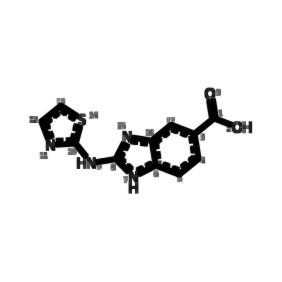 O=C(O)c1ccc2[nH]c(Nc3nccs3)nc2c1